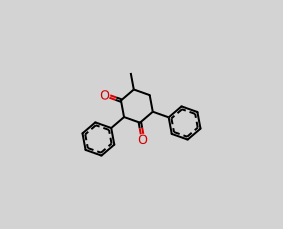 CC1CC(c2ccccc2)C(=O)C(c2ccccc2)C1=O